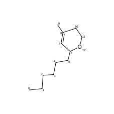 CCCCCCC1C=C(C)CCO1